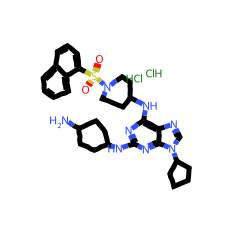 Cl.Cl.NC1CCC(Nc2nc(NC3CCN(S(=O)(=O)c4cccc5ccccc45)CC3)c3ncn(C4CCCC4)c3n2)CC1